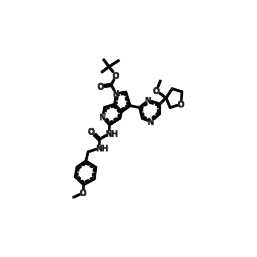 COc1ccc(CNC(=O)Nc2cc3c(-c4cncc(C5(OC)CCOC5)n4)cn(C(=O)OC(C)(C)C)c3cn2)cc1